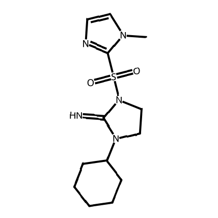 Cn1ccnc1S(=O)(=O)N1CCN(C2CCCCC2)C1=N